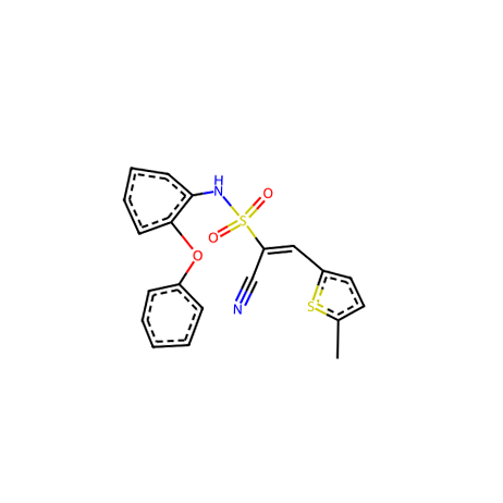 Cc1ccc(/C=C(\C#N)S(=O)(=O)Nc2ccccc2Oc2ccccc2)s1